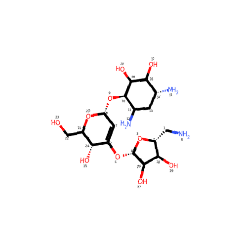 NC[C@H]1O[C@@H](OC2=C[C@@H](O[C@@H]3C(N)C[C@@H](N)C(O)C3O)OC(CO)[C@H]2O)C(O)C1O